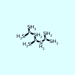 [SiH3]P([SiH3])[SiH2]P([SiH3])[SiH2]P([SiH3])[SiH3]